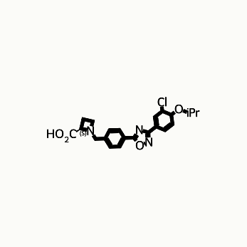 CC(C)OC1C=CC(c2noc(-c3ccc(CN4CC[C@H]4C(=O)O)cc3)n2)=CC1Cl